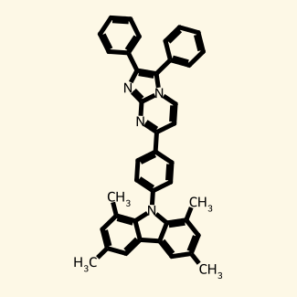 Cc1cc(C)c2c(c1)c1cc(C)cc(C)c1n2-c1ccc(-c2ccn3c(-c4ccccc4)c(-c4ccccc4)nc3n2)cc1